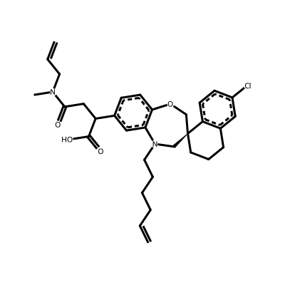 C=CCCCCN1C[C@@]2(CCCc3cc(Cl)ccc32)COc2ccc(C(CC(=O)N(C)CC=C)C(=O)O)cc21